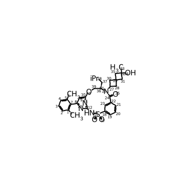 Cc1cccc(C)c1-c1cc2nc(n1)NS(=O)(=O)c1cccc(c1)C(=O)N(C1CC3(C1)CC(C)(O)C3)[C@H](CC(C)C)CO2